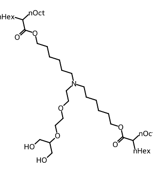 CCCCCCCCC(CCCCCC)C(=O)OCCCCCCN(CCCCCCOC(=O)C(CCCCCC)CCCCCCCC)CCOCCOC(CO)CO